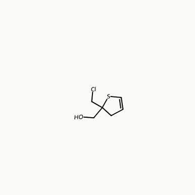 OCC1(CCl)CC=CS1